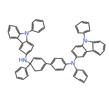 C1=CC(Nc2ccc3c(c2)c2ccccc2n3-c2ccccc2)(c2ccccc2)CC=C1c1ccc(N(c2ccccc2)c2ccc3c(c2)c2ccccc2n3-c2ccccc2)cc1